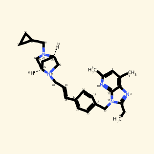 CCc1nc2c(C)cc(C)nc2n1Cc1ccc(C=CCN2C[C@H]3C[C@@H]2CN3CC2CC2)cc1